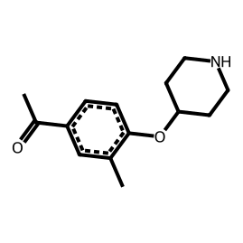 CC(=O)c1ccc(OC2CCNCC2)c(C)c1